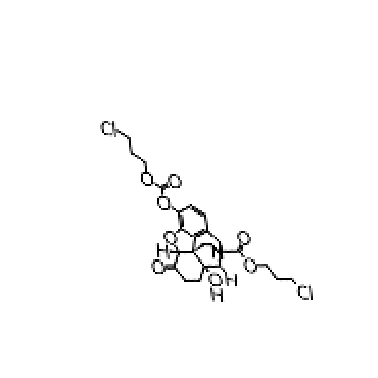 O=C(OCCCCl)Oc1ccc2c3c1O[C@H]1C(=O)CC[C@@]4(O)[C@@H](C2)N(C(=O)OCCCCl)CC[C@]314